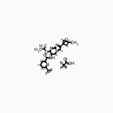 CC(C)Oc1nc2nc(C34COC(C)(C3)C4)cn2cc1NC(=O)c1cccc(C(F)F)n1.O=C(O)C(F)(F)F